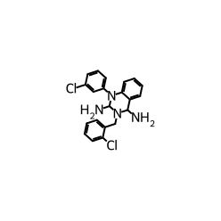 NC1c2ccccc2N(c2cccc(Cl)c2)C(N)N1Cc1ccccc1Cl